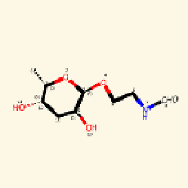 C[C@@H]1O[C@@H](OCCNC=O)[C@@H](O)C[C@@H]1O